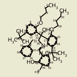 CCCCOc1ccc(C(C)(C)C)cc1C(O)(c1cc(C(C)(C)C)ccc1OCCCC)[C@@H](Cc1ccccc1)N=Cc1cccc(F)c1O